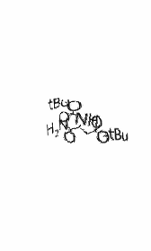 CC(C)(C)OC(=O)C[C@H](NC(=O)OC(C)(C)C)C(N)=O